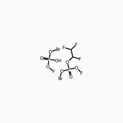 O=P(O)(OF)OBr.O=P(OF)(OBr)OC(F)C(F)F